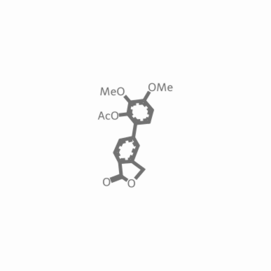 COc1ccc(-c2ccc3c(c2)COC3=O)c(OC(C)=O)c1OC